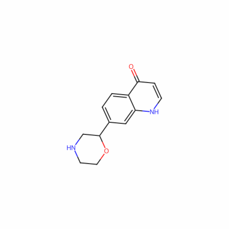 O=c1cc[nH]c2cc(C3CNCCO3)ccc12